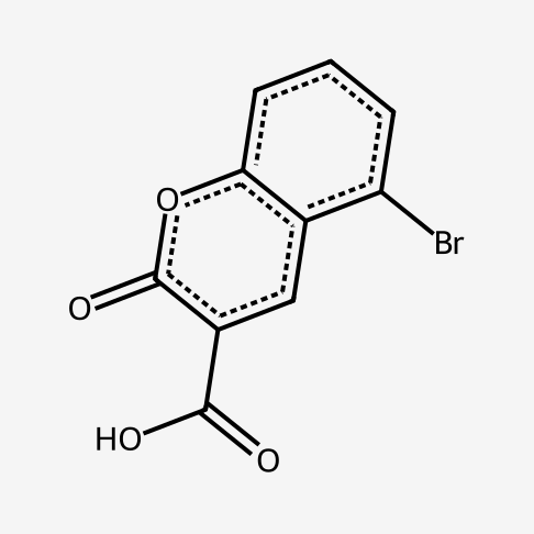 O=C(O)c1cc2c(Br)cccc2oc1=O